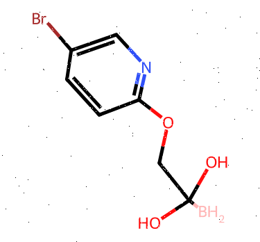 BC(O)(O)COc1ccc(Br)cn1